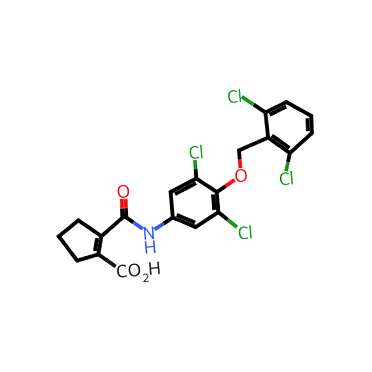 O=C(O)C1=C(C(=O)Nc2cc(Cl)c(OCc3c(Cl)cccc3Cl)c(Cl)c2)CCC1